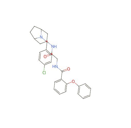 O=C(CNC(=O)c1ccccc1Oc1ccccc1)NC1CC2CCC(C1)N2Cc1ccc(Cl)cc1